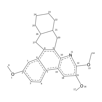 COc1ccc2c(c1)c1c(c3nc(OC)c(OC)cc32)CC2CCCCC2C1